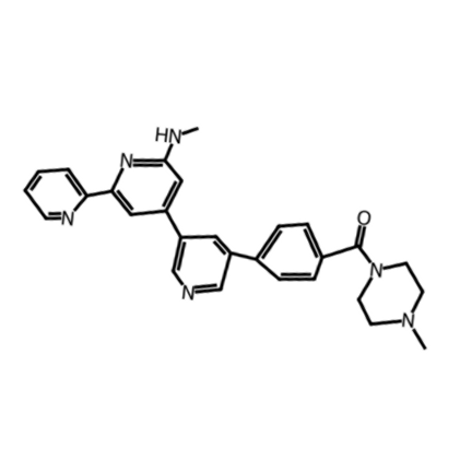 CNc1cc(-c2cncc(-c3ccc(C(=O)N4CCN(C)CC4)cc3)c2)cc(-c2ccccn2)n1